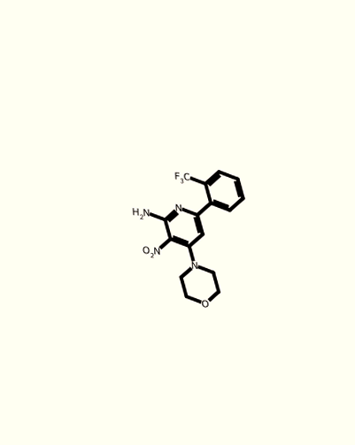 Nc1nc(-c2ccccc2C(F)(F)F)cc(N2CCOCC2)c1[N+](=O)[O-]